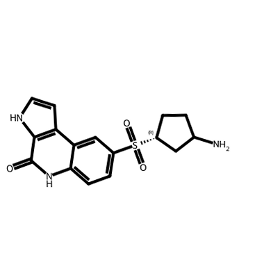 NC1CC[C@@H](S(=O)(=O)c2ccc3[nH]c(=O)c4[nH]ccc4c3c2)C1